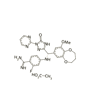 CC(=O)O.COc1cc([C@H](Nc2ccc(C(=N)N)c(F)c2)c2nn(-c3ncccn3)c(=O)[nH]2)cc2c1OCCCO2